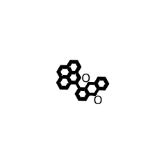 O=C1c2ccccc2C(=O)c2c1cccc2-c1cc2cccc3ccc4cccc1c4c32